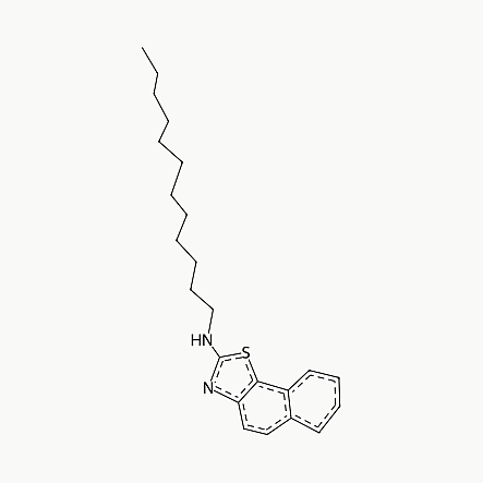 CCCCCCCCCCCCNc1nc2ccc3ccccc3c2s1